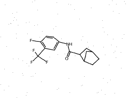 O=C(Nc1ccc(F)c(C(F)(F)F)c1)C1CC2CCC1C2